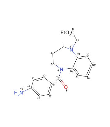 CCOC(=O)CN1CCCN(C(=O)c2ccc(N)cc2)c2ccccc21